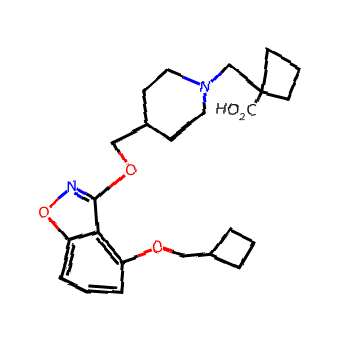 O=C(O)C1(CN2CCC(COc3noc4cccc(OCC5CCC5)c34)CC2)CCC1